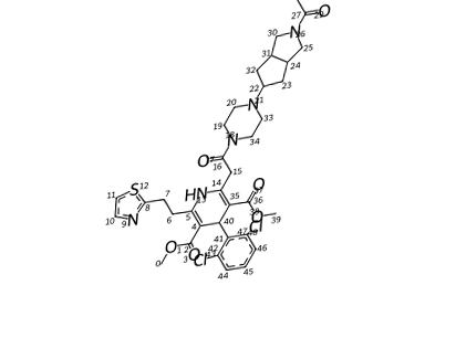 COC(=O)C1=C(CCc2nccs2)NC(CC(=O)N2CCN(C3CC4CN(C(C)=O)CC4C3)CC2)=C(C(=O)OC)C1c1c(Cl)cccc1Cl